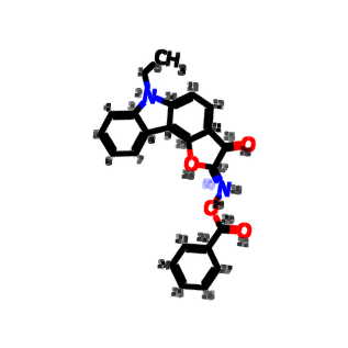 CCn1c2ccccc2c2c3c(ccc21)C(=O)/C(=N/OC(=O)c1ccccc1)O3